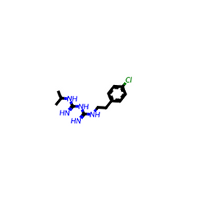 CC(C)NC(=N)NC(=N)NCCc1ccc(Cl)cc1